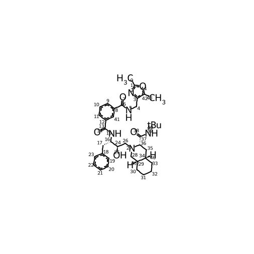 Cc1nc(CNC(=O)c2cccc(C(=O)N[C@@H](Cc3ccccc3)[C@H](O)CN3C[C@H]4CCCC[C@H]4C[C@H]3C(=O)NC(C)(C)C)c2)c(C)o1